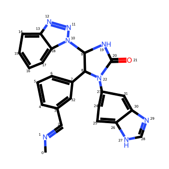 CN=Cc1cccc(C2C(n3nnc4ccccc43)NC(=O)N2c2ccc3[nH]cnc3c2)c1